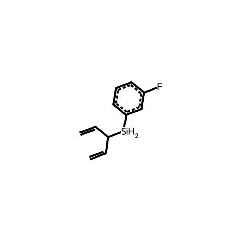 C=CC(C=C)[SiH2]c1cccc(F)c1